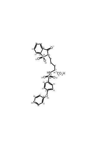 O=C(O)[C@@H](CCCN1C(=O)c2ccccc2S1(=O)=O)NS(=O)(=O)c1ccc(Oc2ccncc2)cc1